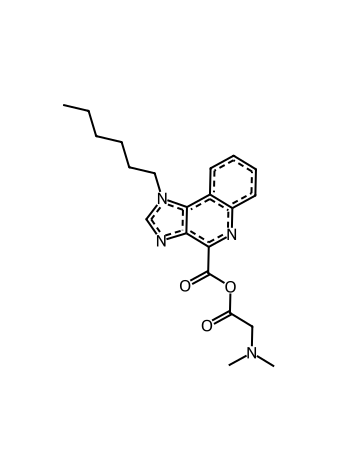 CCCCCCn1cnc2c(C(=O)OC(=O)CN(C)C)nc3ccccc3c21